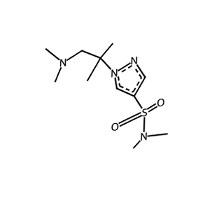 CN(C)CC(C)(C)n1cc(S(=O)(=O)N(C)C)cn1